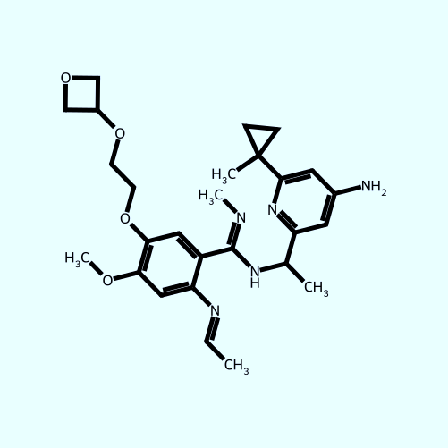 C/C=N/c1cc(OC)c(OCCOC2COC2)cc1/C(=N\C)NC(C)c1cc(N)cc(C2(C)CC2)n1